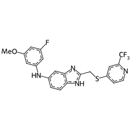 COc1cc(F)cc(Nc2ccc3[nH]c(CSc4ccnc(C(F)(F)F)c4)nc3c2)c1